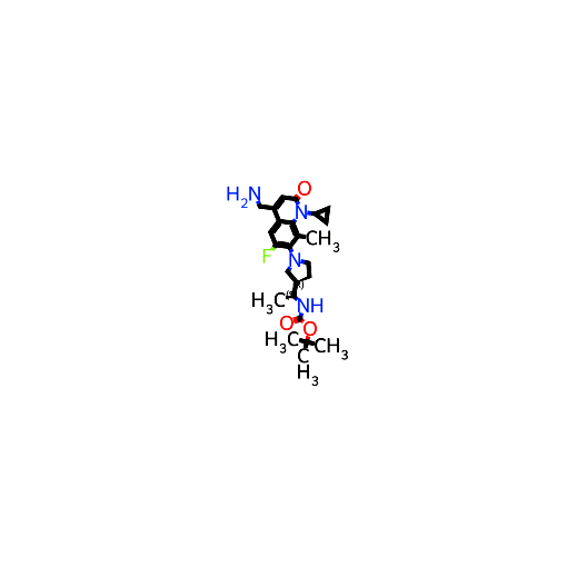 Cc1c(N2CC[C@@H]([C@H](C)NC(=O)OC(C)(C)C)C2)c(F)cc2c(CN)cc(=O)n(C3CC3)c12